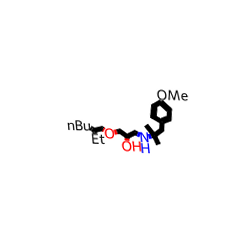 CCCCC(CC)COCC(O)CNC(C)(C)Cc1ccc(OC)cc1